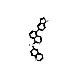 c1cnc2ccc(Nc3nccc4c(-c5ccc6[nH]ccc6c5)cccc34)cc2c1